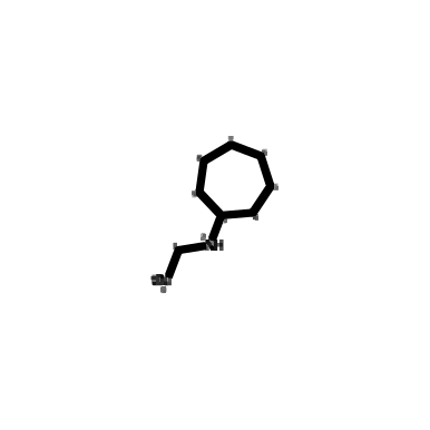 CC(C)(C)CNC1CCCCCC1